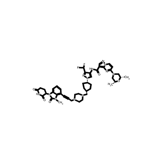 C[C@@H]1CN(c2ccn3ncc(C(=O)Nc4cn([C@H]5CC[C@H](CN6CCN(CC#Cc7cccc8c7n(C)c(=O)n8C7CCC(=O)NC7=O)CC6)CC5)nc4C(F)F)c3n2)C[C@H](C)O1